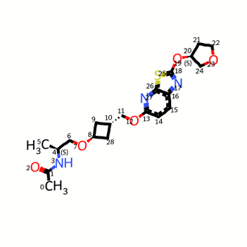 CC(=O)N[C@@H](C)CO[C@H]1C[C@H](COc2ccc3nc(O[C@H]4CCOC4)sc3n2)C1